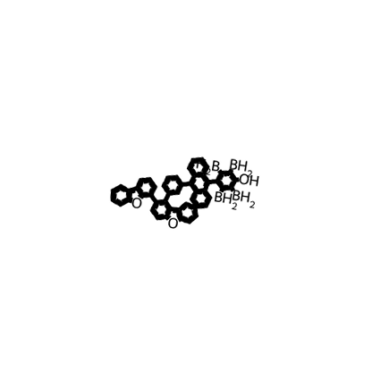 Bc1c(B)c(-c2c3ccccc3c(-c3cccc(-c4c(-c5cccc6c5oc5ccccc56)ccc5oc6ccccc6c45)c3)c3ccccc23)c(B)c(B)c1O